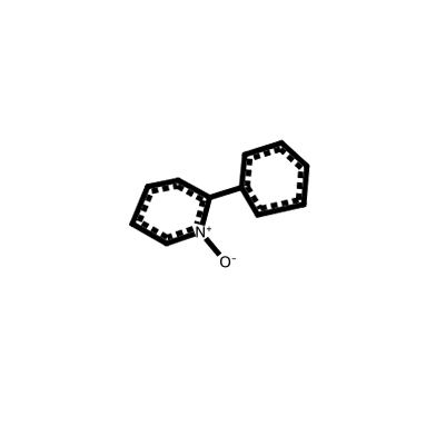 [O-][n+]1ccccc1-c1ccccc1